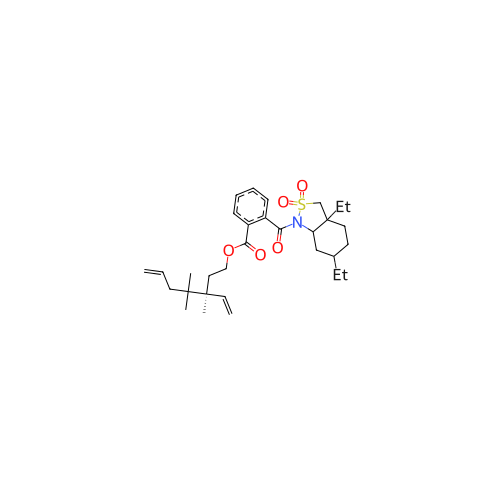 C=CCC(C)(C)[C@](C)(C=C)CCOC(=O)c1ccccc1C(=O)N1C2CC(CC)CCC2(CC)CS1(=O)=O